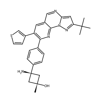 CC(C)(C)c1cc2ncc3cc(-c4ccsc4)c(-c4ccc([C@]5(N)C[C@](C)(O)C5)cc4)nc3n2n1